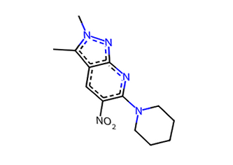 Cc1c2cc([N+](=O)[O-])c(N3CCCCC3)nc2nn1C